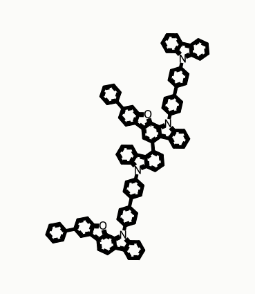 c1ccc(-c2ccc3c(c2)oc2c3cc(-c3cccc4c3c3ccccc3n4-c3ccc(-c4ccc(-n5c6ccccc6c6ccc7c8cc(-c9ccccc9)ccc8oc7c65)cc4)cc3)c3c4ccccc4n(-c4ccc(-c5ccc(-n6c7ccccc7c7ccccc76)cc5)cc4)c23)cc1